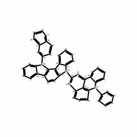 c1ccc(N2c3ccccc3-c3nc(-n4c5ccccc5c5c4ccc4c6ccccc6n(-c6ccc7ccccc7c6)c45)nc4cccc2c34)cc1